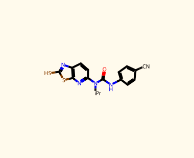 CC(C)N(C(=O)Nc1ccc(C#N)cc1)c1ccc2nc(S)sc2n1